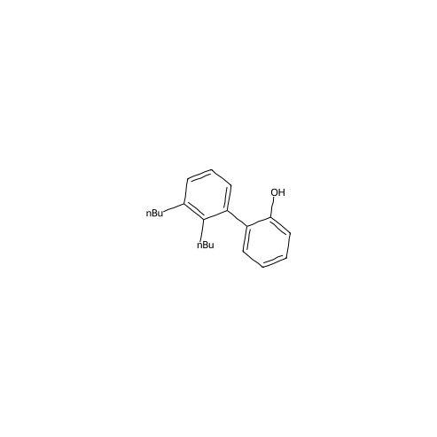 CCCCc1cccc(-c2ccccc2O)c1CCCC